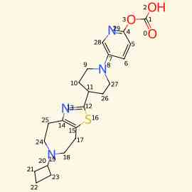 O=C(O)Oc1ccc(N2CCC(c3nc4c(s3)CCN(C3CCC3)CC4)CC2)cn1